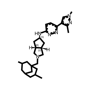 Cc1nn(C)cc1-c1ccc(N[C@H]2C[C@@H]3CN(CC45CC(C)CC(CC(C)C4)C5)C[C@@H]3C2)nn1